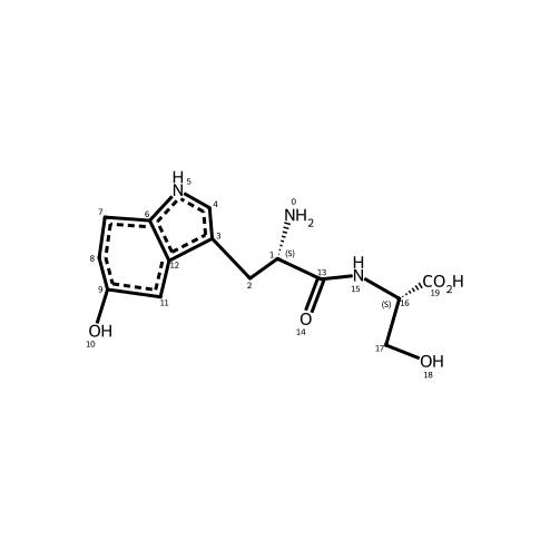 N[C@@H](Cc1c[nH]c2ccc(O)cc12)C(=O)N[C@@H](CO)C(=O)O